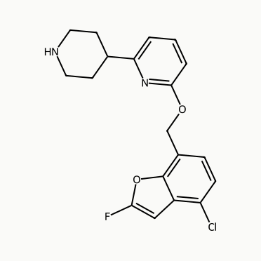 Fc1cc2c(Cl)ccc(COc3cccc(C4CCNCC4)n3)c2o1